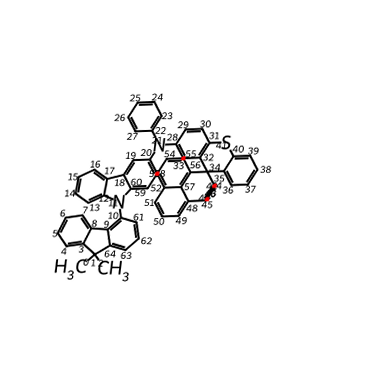 CC1(C)c2ccccc2-c2c(-n3c4ccccc4c4cc(N(c5ccccc5)c5ccc6c(c5)C5(c7ccccc7S6)c6ccccc6-c6cccc7cccc5c67)ccc43)cccc21